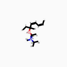 C/C=C\C=C/C(C)(CC)O/C(C)=[N+](\C)C(C)C